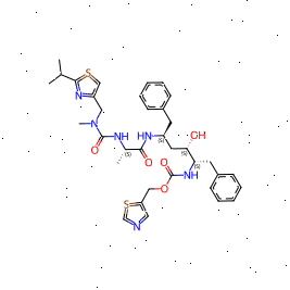 CC(C)c1nc(CN(C)C(=O)N[C@@H](C)C(=O)N[C@@H](Cc2ccccc2)C[C@H](O)[C@H](Cc2ccccc2)NC(=O)OCc2cncs2)cs1